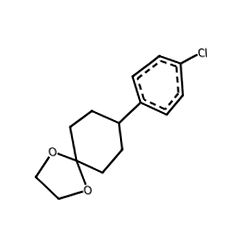 Clc1ccc(C2CCC3(CC2)OCCO3)cc1